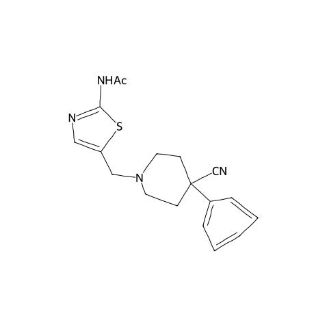 CC(=O)Nc1ncc(CN2CCC(C#N)(c3ccccc3)CC2)s1